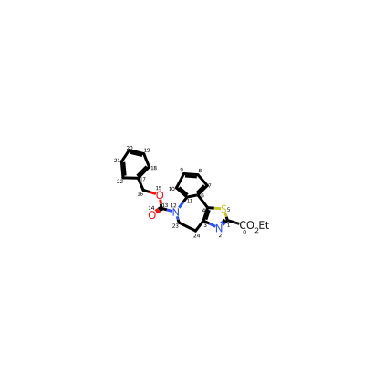 CCOC(=O)c1nc2c(s1)-c1ccccc1N(C(=O)OCc1ccccc1)CC2